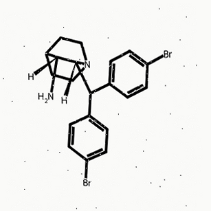 N[C@@H]1C2CCN(CC2)[C@@H]1C(c1ccc(Br)cc1)c1ccc(Br)cc1